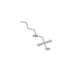 CCCCNCS(=O)(=O)O